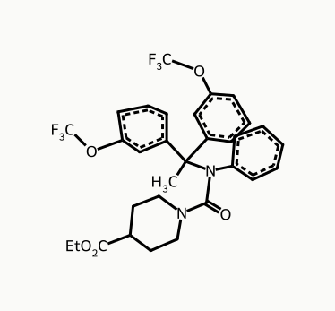 CCOC(=O)C1CCN(C(=O)N(c2ccccc2)C(C)(c2cccc(OC(F)(F)F)c2)c2cccc(OC(F)(F)F)c2)CC1